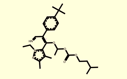 CCn1nc(C)c(C)c1/C(OC(C)OC(=O)OCCC(C)C)=C(\C=N)c1ccc(C(C)(C)C)cc1